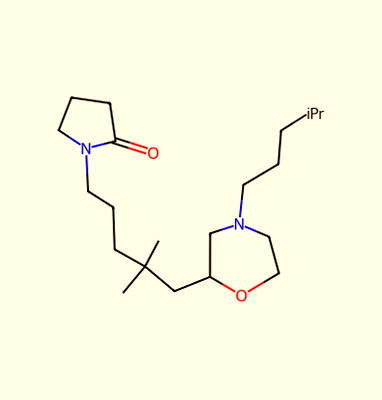 CC(C)CCCN1CCOC(CC(C)(C)CCCN2CCCC2=O)C1